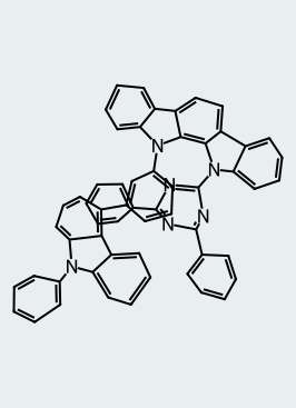 c1ccc(-c2nc(-c3ccccc3)nc(-n3c4ccccc4c4ccc5c6ccccc6n(-c6cccc(-c7cccc8c7c7ccccc7n8-c7ccccc7)c6)c5c43)n2)cc1